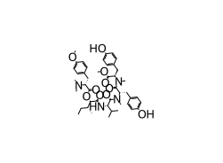 CC[C@@H](C)[C@@H](OC(=O)[C@@H](Cc1ccc(OC)cc1)N(C)C)C(=O)N[C@H](C(=O)N(C)[C@@H](Cc1ccc(O)cc1)C(=O)N(C)[C@H](Cc1ccc(O)cc1)C(=O)OC)C(C)C